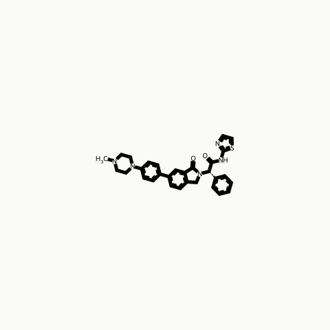 CN1CCN(c2ccc(-c3ccc4c(c3)C(=O)N([C@H](C(=O)Nc3nccs3)c3ccccc3)C4)cc2)CC1